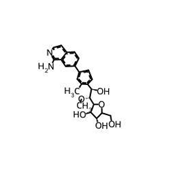 CO[C@@H](C1OC(CO)[C@@H](O)C1O)[C@H](O)c1ccc(-c2ccc3ccnc(N)c3c2)cc1C